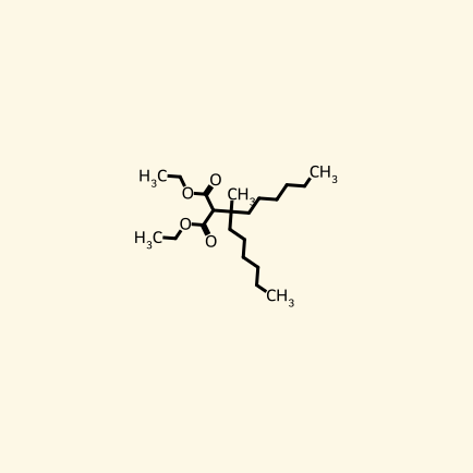 CCCCCCC(C)(CCCCCC)C(C(=O)OCC)C(=O)OCC